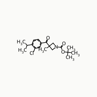 CC(C)c1ccc(C(=O)C2(C)CN(C(=O)OC(C)(C)C)C2)cc1Cl